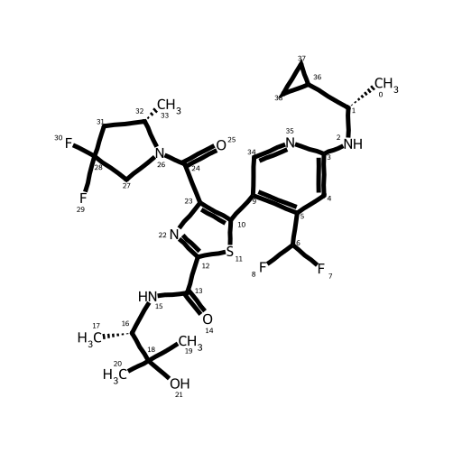 C[C@H](Nc1cc(C(F)F)c(-c2sc(C(=O)N[C@@H](C)C(C)(C)O)nc2C(=O)N2CC(F)(F)C[C@@H]2C)cn1)C1CC1